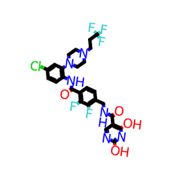 O=C(NCc1ccc(C(=O)Nc2ccc(Cl)cc2N2CCN(CCC(F)(F)F)CC2)c(F)c1F)c1cnc(O)nc1O